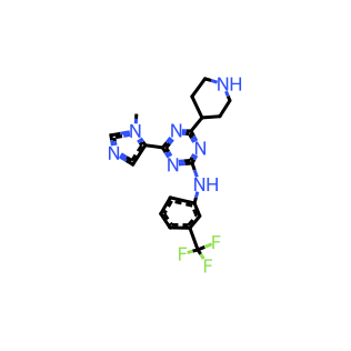 Cn1cncc1-c1nc(Nc2cccc(C(F)(F)F)c2)nc(C2CCNCC2)n1